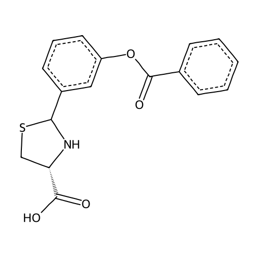 O=C(Oc1cccc(C2N[C@H](C(=O)O)CS2)c1)c1ccccc1